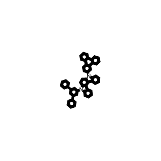 c1ccc(-c2cc(-c3ccccc3)cc(-n3c4ccccc4c4c5c6ccccc6n(-c6ccc7c8ccccc8c8ccccc8c7c6)c5ccc43)c2)cc1